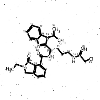 CCN1Cc2cccc(C(=O)N[C@@H](CCCNC(=N)CCl)c3nc4ccccc4n3C(C)C)c2C1=O